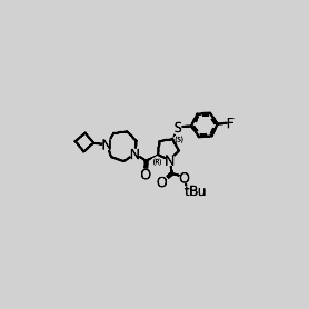 CC(C)(C)OC(=O)N1C[C@@H](Sc2ccc(F)cc2)C[C@@H]1C(=O)N1CCCN(C2CCC2)CC1